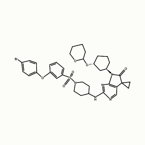 O=C1N([C@@H]2CCC[C@@H](OC3CCCCO3)C2)c2nc(NC3CCN(S(=O)(=O)c4cccc(Oc5ccc(Br)cc5)c4)CC3)ncc2C12CC2